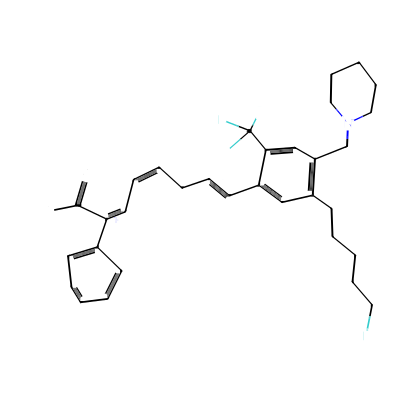 C=C(C)/C(=C\C=C/C/C=C/c1cc(CCCCCF)c(CN2CCCCC2)cc1C(F)(F)F)c1ccccc1